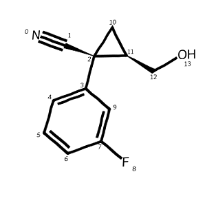 N#C[C@@]1(c2cccc(F)c2)C[C@H]1CO